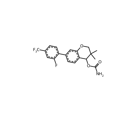 CC1(C)COc2cc(-c3ccc(C(F)(F)F)cc3F)ccc2C1OC(N)=O